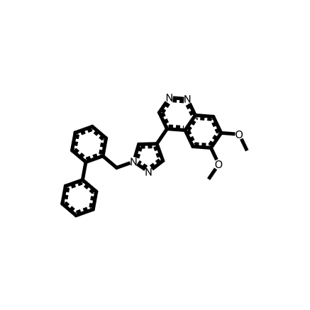 COc1cc2nncc(-c3cnn(Cc4ccccc4-c4ccccc4)c3)c2cc1OC